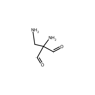 NCC(N)([C]=O)[C]=O